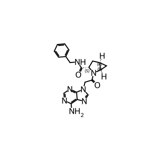 Nc1ncnc2c1ncn2CC(=O)N1[C@@H]2C[C@@H]2C[C@H]1C(=O)NCc1ccccc1